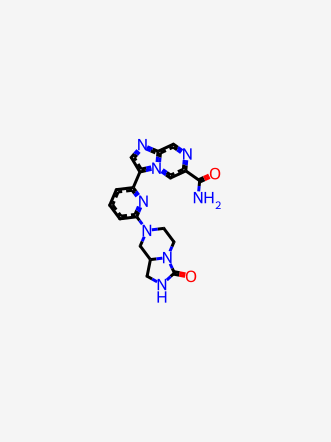 NC(=O)c1cn2c(-c3cccc(N4CCN5C(=O)NCC5C4)n3)cnc2cn1